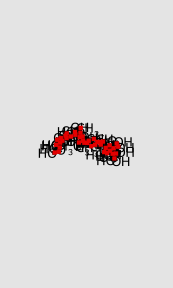 CC1OC(OC(=O)[C@]23CCC(C)(C)CC2C2=CCC4[C@@]5(C)CC[C@H](OC6OC(C(=O)O)C(O)C(OC7OCC(O)C(O)C7O)C6OC6OC(CO)C(O)C(O)C6O)[C@@](C)(C=O)C5CC[C@@]4(C)[C@]2(C)C[C@H]3O)C(OC2OC(C)C(OC3OCC(O)C(OC4OCC(O)(CO)C4O)C3O)C(C)C2O)C(O)C1O